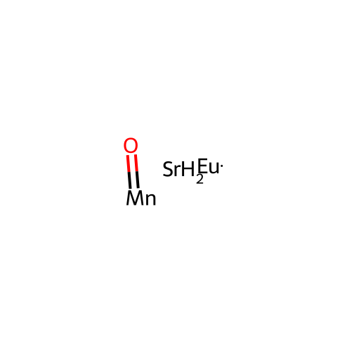 [Eu].[O]=[Mn].[SrH2]